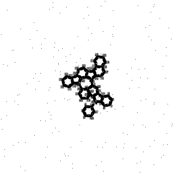 c1ccc(-n2c3ccccc3c3cc(-n4c5ccc6ccccc6c5c5ccc6c7ccccc7n(-c7ccccc7)c6c54)ccc32)cc1